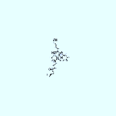 CCCCC[C@H](O)/C=C/[C@]1(Cc2ccccc2CCCC(=O)OC)CCCCC1=O